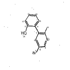 Cc1ncc(Br)cc1-c1ccccc1O